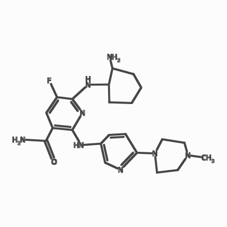 CN1CCN(c2ccc(Nc3nc(NC4CCCCC4N)c(F)cc3C(N)=O)cn2)CC1